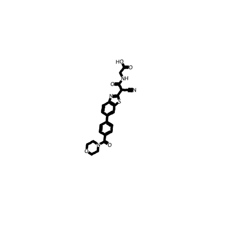 N#CC(C(=O)NCC(=O)O)c1nc2ccc(-c3ccc(C(=O)N4CCOCC4)cc3)cc2s1